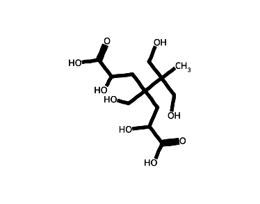 CC(CO)(CO)C(CO)(CC(O)C(=O)O)CC(O)C(=O)O